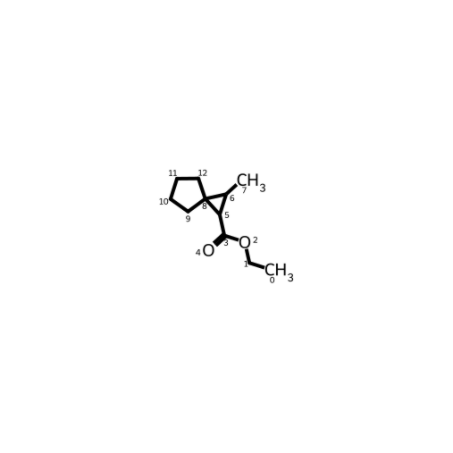 CCOC(=O)C1C(C)C12CCCC2